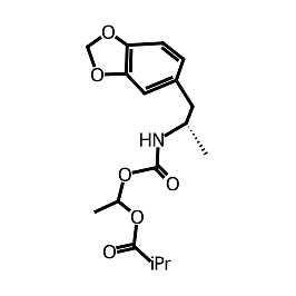 CC(OC(=O)N[C@@H](C)Cc1ccc2c(c1)OCO2)OC(=O)C(C)C